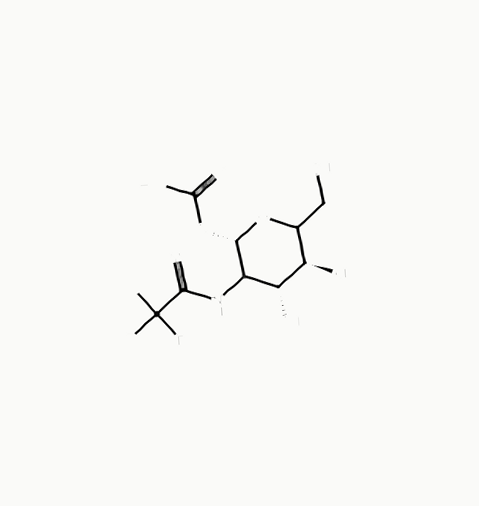 CC(=O)O[C@@H]1OC(CO)[C@@H](C)[C@H](C)C1NC(=O)C(F)(F)F